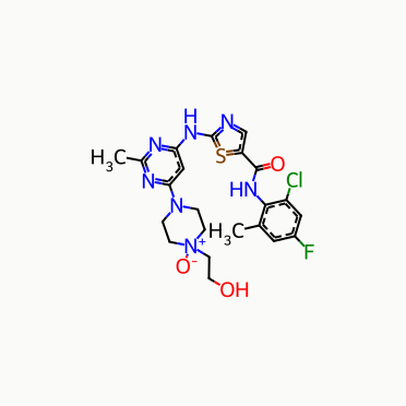 Cc1nc(Nc2ncc(C(=O)Nc3c(C)cc(F)cc3Cl)s2)cc(N2CC[N+]([O-])(CCO)CC2)n1